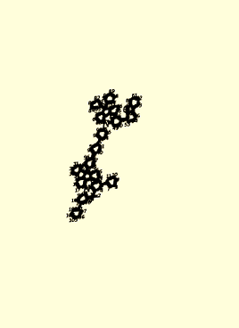 CC1(C)c2cc(-c3ccccc3)ccc2N(c2cccc3c2-c2ccccc2C3(c2ccccc2)c2ccc(-c3ccc(-c4ccc(N(c5ccc(-c6cccc7c6oc6ccccc67)cc5)c5cccc6c5-c5ccccc5C6(c5ccccc5)c5ccccc5)cc4)cc3)cc2)c2ccc(-c3ccccc3)cc21